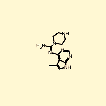 Cc1c[nH]c2ncnc(N=C(N)N3CCNCC3)c12